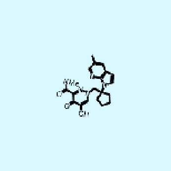 CNC(=O)c1nn(CC2(n3ccc4cc(C)cnc43)CCCC2)cc(O)c1=O